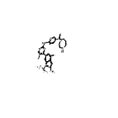 Cc1cc2c(F)cc(-c3nc(Nc4ccc(C(=O)N5CCCNCC5)cn4)ncc3F)cc2n1C(C)C